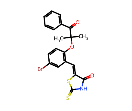 CC(C)(Oc1ccc(Br)cc1/C=C1\SC(=S)NC1=O)C(=O)c1ccccc1